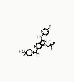 CC1(O)CCN(C(=O)c2cc3c(cn2)c(Nc2ccc(F)cn2)nn3CC(F)(F)F)CC1